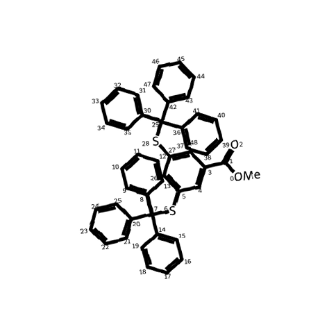 COC(=O)c1cc(SC(c2ccccc2)(c2ccccc2)c2ccccc2)cc(SC(c2ccccc2)(c2ccccc2)c2ccccc2)c1